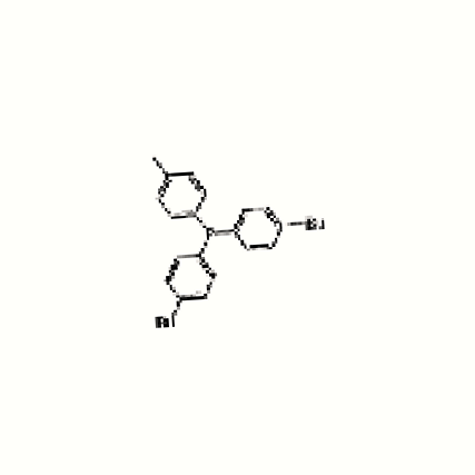 CCC(C)c1ccc(P(c2ccc(C)cc2)c2ccc(C(C)CC)cc2)cc1